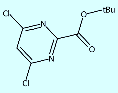 CC(C)(C)OC(=O)c1nc(Cl)cc(Cl)n1